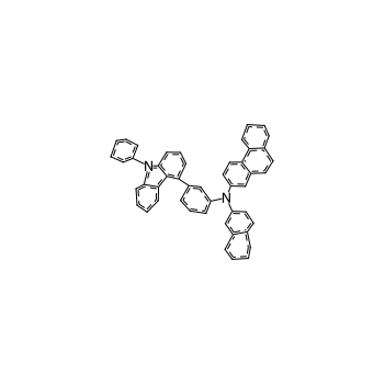 c1ccc(-n2c3ccccc3c3c(-c4cccc(N(c5ccc6ccccc6c5)c5ccc6c(ccc7ccccc76)c5)c4)cccc32)cc1